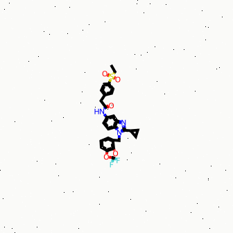 CCS(=O)(=O)c1ccc(CC(=O)Nc2ccc3c(c2)nc(C2CC2)n3Cc2cccc3c2OC(F)(F)O3)cc1